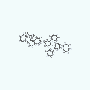 CC1(C)c2ccccc2-c2ccc3cc(-c4cccc(-c5ccccc5-c5nc(-c6ccccc6)nc(-c6ccccc6)n5)c4)ccc3c21